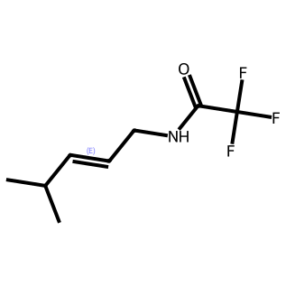 CC(C)/C=C/CNC(=O)C(F)(F)F